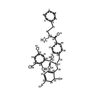 CN(CCc1ccccc1)C(=O)c1ccc(CN(CC2=CC=C(F)CC2I)S(=O)(=O)c2cc(Cl)cc(Cl)c2O)cc1